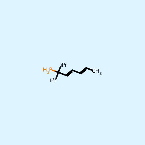 CC=CC=CC(P)(C(C)C)C(C)C